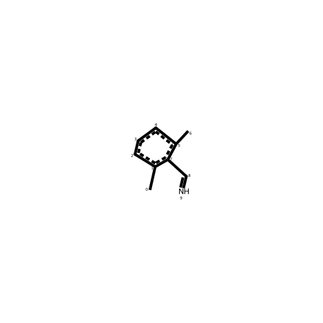 Cc1cccc(C)c1C=N